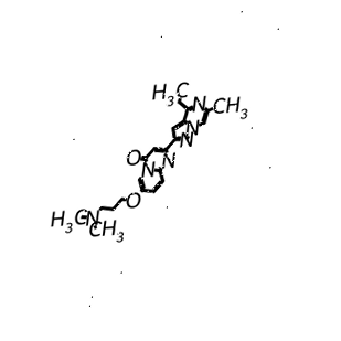 CCc1nc(C)cn2nc(-c3cc(=O)n4cc(OCCCN(C)C)ccc4n3)cc12